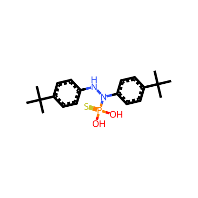 CC(C)(C)c1ccc(NN(c2ccc(C(C)(C)C)cc2)P(O)(O)=S)cc1